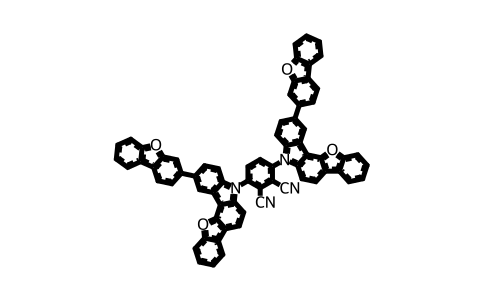 N#Cc1c(-n2c3ccc(-c4ccc5c(c4)oc4ccccc45)cc3c3c4oc5ccccc5c4ccc32)ccc(-n2c3ccc(-c4ccc5c(c4)oc4ccccc45)cc3c3c4oc5ccccc5c4ccc32)c1C#N